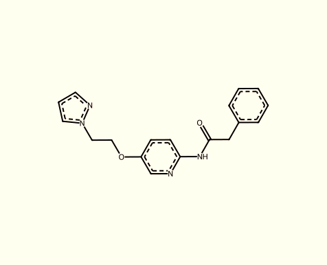 O=C(Cc1ccccc1)Nc1ccc(OCCn2cccn2)cn1